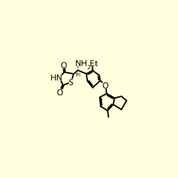 CCc1cc(Oc2ccc(C)c3c2CCC3)ccc1[C@@H](N)C1SC(=O)NC1=O